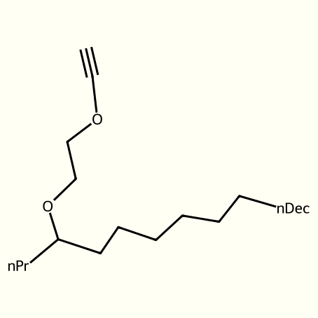 C#COCCOC(CCC)CCCCCCCCCCCCCCCC